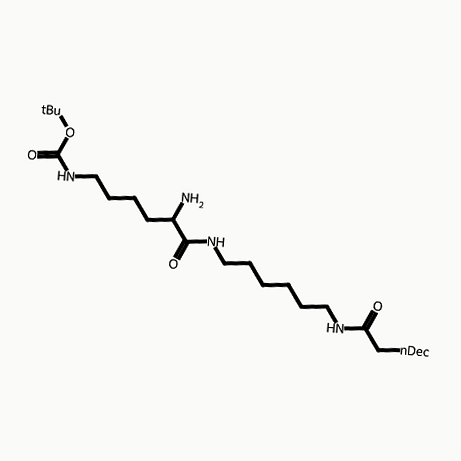 CCCCCCCCCCCC(=O)NCCCCCCNC(=O)C(N)CCCCNC(=O)OC(C)(C)C